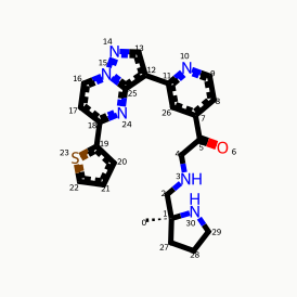 C[C@@]1(CNCC(=O)c2ccnc(-c3cnn4ccc(-c5cccs5)nc34)c2)CCCN1